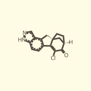 O=C1C(Cl)=C2c3ccc4[nH]ncc4c3C[C@@]23CC[C@@H]1C3